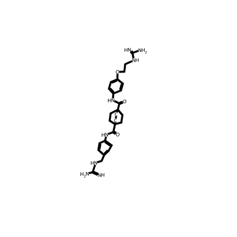 N=C(N)NCCOc1ccc(NC(=O)C23CCC(C(=O)Nc4ccc(CNC(=N)N)cc4)(CC2)CC3)cc1